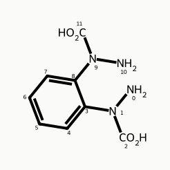 NN(C(=O)O)c1ccccc1N(N)C(=O)O